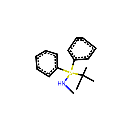 CNS(c1ccccc1)(c1ccccc1)C(C)(C)C